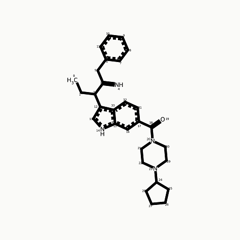 CCC(C(=N)Cc1ccccc1)c1c[nH]c2cc(C(=O)N3CCN(C4CCCC4)CC3)ccc12